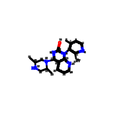 Cc1ccnc(C(C)C)c1-n1c(=O)nc(N2CC(C)NCC2C)c2cccnc21